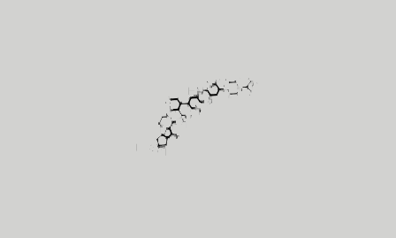 Cn1cc(-c2ccnc(N3CCn4c5c(c(F)c4C3=O)CC(C)(C)C5)c2CO)cc(Nc2ccc(N3CCN(C4COC4)CC3)cn2)c1=O